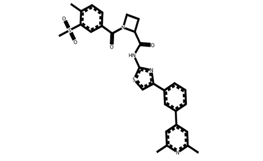 Cc1cc(-c2cccc(-c3csc(NC(=O)C4CCN4C(=O)c4ccc(C)c(S(C)(=O)=O)c4)n3)c2)cc(C)n1